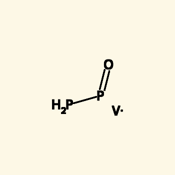 O=PP.[V]